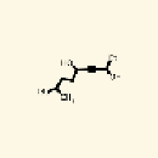 CCC(O)C#CC(O)CCC(C)C(C)(C)C